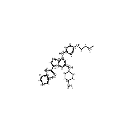 CN(C)CCOc1ccc(Nc2cc(NC3CCC(N)CC3)nn3c(C(=O)Nc4ccncc4F)cnc23)cc1